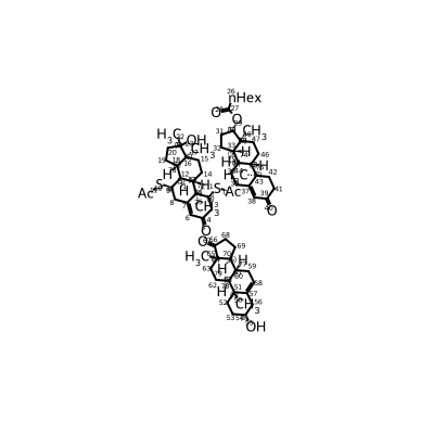 CC(=O)S[C@H]1CC(=O)C=C2C[C@@H](SC(C)=O)[C@@H]3[C@H](CC[C@@]4(C)[C@H]3CC[C@]4(C)O)[C@]21C.CCCCCCC(=O)O[C@H]1CC[C@H]2[C@@H]3CCC4=CC(=O)CC[C@]4(C)[C@H]3CC[C@]12C.C[C@]12CC[C@H](O)CC1=CC[C@@H]1[C@@H]2CC[C@]2(C)C(=O)CC[C@@H]12